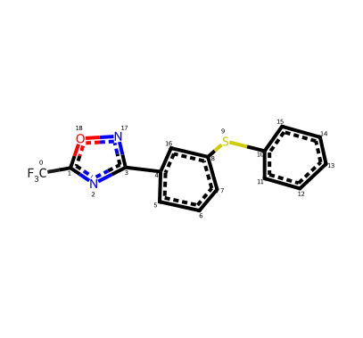 FC(F)(F)c1nc(-c2cc[c]c(Sc3ccccc3)c2)no1